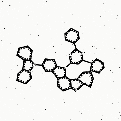 c1ccc(-c2cc(-n3c4ccc(-n5c6ccccc6c6ccccc65)cc4c4ccc5oc6ccccc6c5c43)nc(-c3ccccc3)n2)cc1